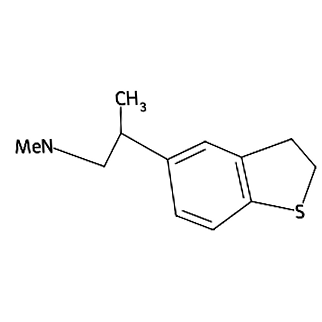 CNCC(C)c1ccc2c(c1)CCS2